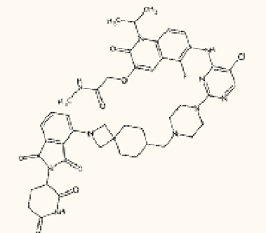 CNC(=O)COc1cc2c(F)c(Nc3nc(N4CCN(CC5CCC6(CC5)CN(c5cccc7c5C(=O)N(C5CCC(=O)NC5=O)C7=O)C6)CC4)ncc3Cl)ccc2n(C(C)C)c1=O